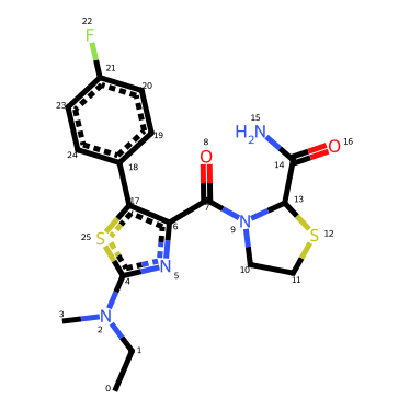 CCN(C)c1nc(C(=O)N2CCSC2C(N)=O)c(-c2ccc(F)cc2)s1